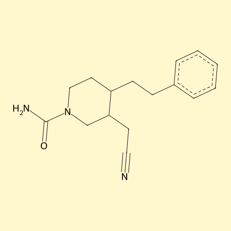 N#CCC1CN(C(N)=O)CCC1CCc1ccccc1